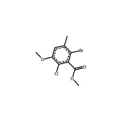 COC(=O)c1c(Cl)c(OC)cc(C)c1Br